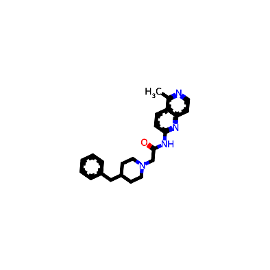 Cc1nccc2nc(NC(=O)CN3CCC(Cc4ccccc4)CC3)ccc12